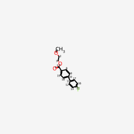 COCCOC(=O)c1ccc(-c2ccc(F)cc2)cc1